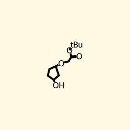 CC(C)(C)OC(=O)COC1CCC(O)C1